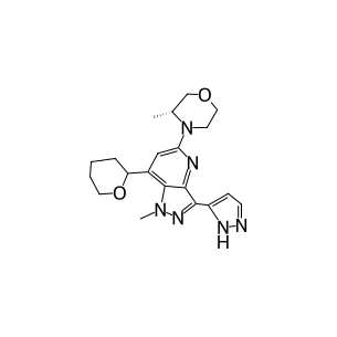 C[C@@H]1COCCN1c1cc(C2CCCCO2)c2c(n1)c(-c1ccn[nH]1)nn2C